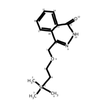 C[Si](C)(C)CCOCc1n[nH]c(=O)c2ccccc12